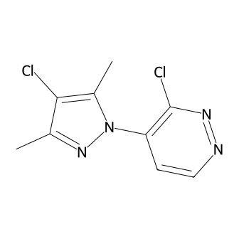 Cc1nn(-c2ccnnc2Cl)c(C)c1Cl